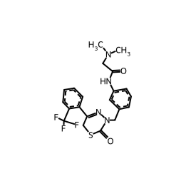 CN(C)CC(=O)Nc1cccc(CN2N=C(c3ccccc3C(F)(F)F)CSC2=O)c1